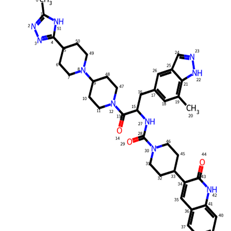 Cc1nnc(C2CCN(C3CCN(C(=O)C(Cc4cc(C)c5[nH]ncc5c4)NC(=O)N4CCC(c5cc6ccccc6[nH]c5=O)CC4)CC3)CC2)[nH]1